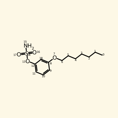 CCCCCCCOc1cccc(OS(N)(=O)=O)c1